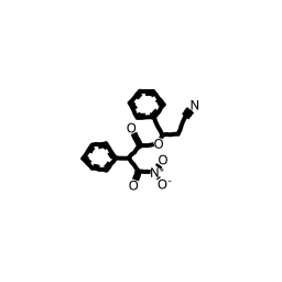 N#CCC(OC(=O)C(C(=O)[N+](=O)[O-])c1ccccc1)c1ccccc1